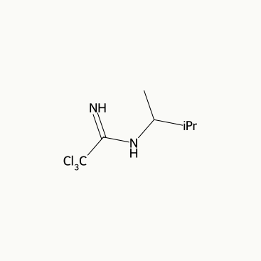 CC(C)C(C)NC(=N)C(Cl)(Cl)Cl